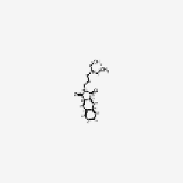 CCN(CC)CCCN1C(=O)c2cc3ccccc3cc2C1=O